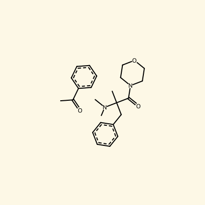 CC(=O)c1ccccc1.CN(C)C(C)(Cc1ccccc1)C(=O)N1CCOCC1